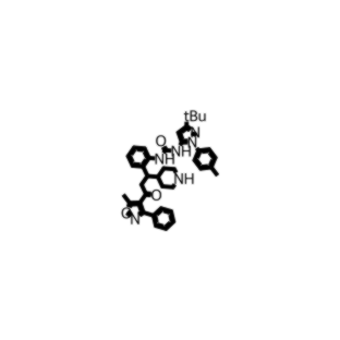 Cc1ccc(-n2nc(C(C)(C)C)cc2NC(=O)Nc2ccccc2C(CC(=O)c2c(-c3ccccc3)noc2C)C2CCNCC2)cc1